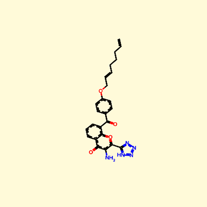 C=CCCC/C=C/COc1ccc(C(=O)c2cccc3c(=O)c(N)c(-c4nnn[nH]4)oc23)cc1